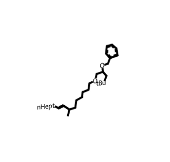 CCCCCCC/C=C/C(C)CCCCCCOCC(CC(C)(C)C)OCc1ccccc1